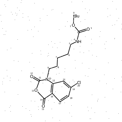 CC(C)(C)OC(=O)NCCCCCn1c(=O)oc(=O)c2ccc(Cl)cc21